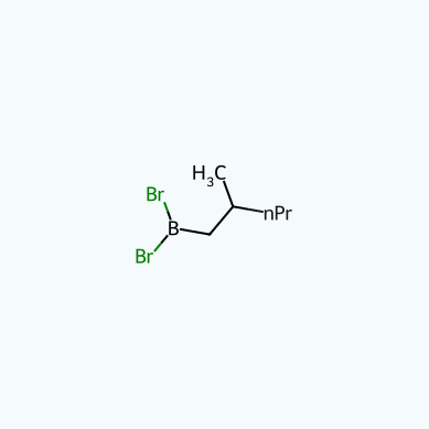 CCCC(C)CB(Br)Br